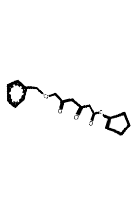 O=C(COCc1ccccc1)CC(=O)CC(=O)OC1CCCC1